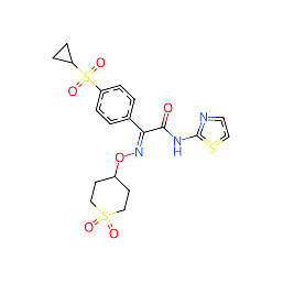 O=C(Nc1nccs1)/C(=N/OC1CCS(=O)(=O)CC1)c1ccc(S(=O)(=O)C2CC2)cc1